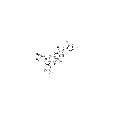 CC(C)CC1CCN(CC(C)C)C2Cn3cc(C(=O)NCc4ccc(F)cc4F)c(=O)c(O)c3C(=O)N12